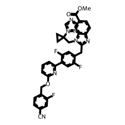 COC(=O)c1ccc2nc(Cc3cc(F)c(-c4cccc(OCc5ccc(C#N)cc5F)n4)cc3F)n(CC3(n4cncn4)CC3)c2c1